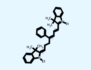 CCN1/C(=C/CC/C(=C/C=C/C2=[N+](CC)c3ccccc3C2(C)C)c2ccccc2)C(C)(C)c2ccccc21